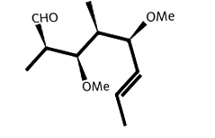 C/C=C/[C@H](OC)[C@H](C)[C@@H](OC)[C@@H](C)C=O